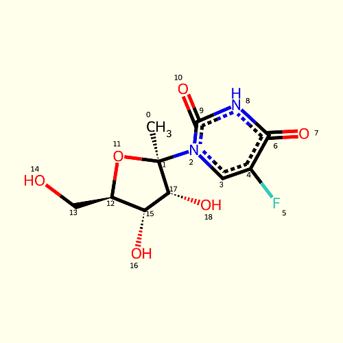 C[C@@]1(n2cc(F)c(=O)[nH]c2=O)O[C@H](CO)[C@@H](O)[C@H]1O